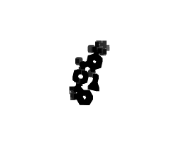 CS(=O)(=O)c1ccc(OCC2CC2)c(C(=O)N2CCN(c3nsc4ccccc34)CC2)c1